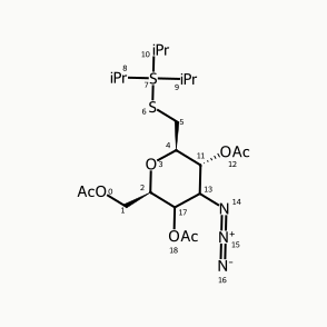 CC(=O)OC[C@H]1O[C@@H](CSS(C(C)C)(C(C)C)C(C)C)[C@H](OC(C)=O)C(N=[N+]=[N-])C1OC(C)=O